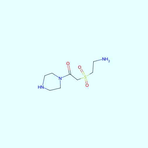 NCCS(=O)(=O)CC(=O)N1CCNCC1